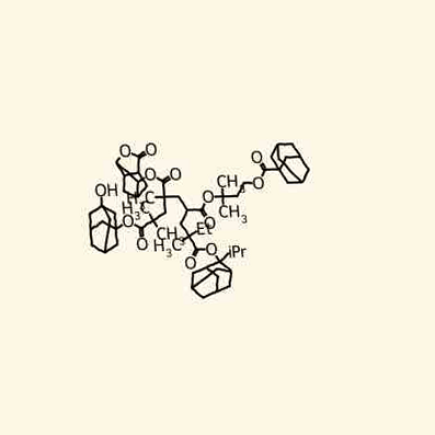 CCC(C)(CC(CC(C)(CC(C)(C)C(=O)OC12CC3CC(CC(O)(C3)C1)C2)C(=O)OC1C2CC3C(=O)OC1C3C2)C(=O)OC(C)(C)CCOC(=O)C12CC3CC(CC(C3)C1)C2)C(=O)OC1(C(C)C)C2CC3CC(C2)CC1C3